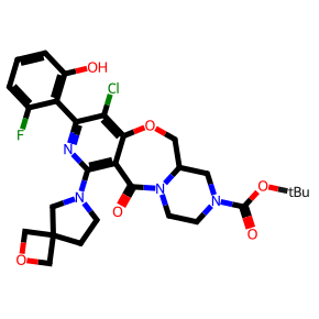 CC(C)(C)OC(=O)N1CCN2C(=O)c3c(N4CCC5(COC5)C4)nc(-c4c(O)cccc4F)c(Cl)c3OCC2C1